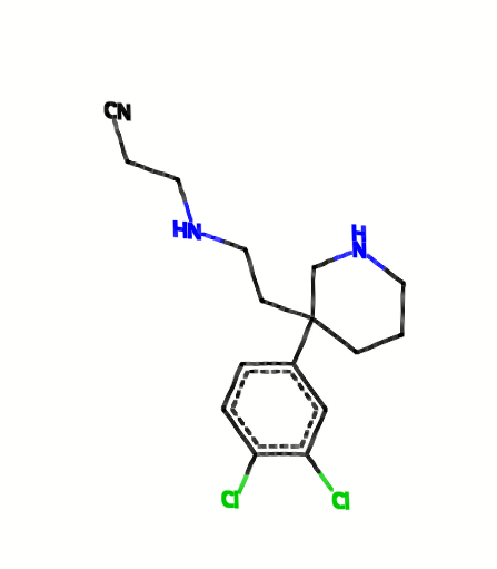 N#CCCNCCC1(c2ccc(Cl)c(Cl)c2)CCCNC1